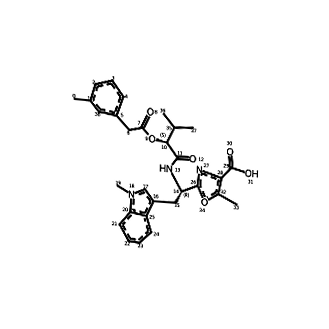 Cc1cccc(CC(=O)O[C@H](C(=O)N[C@H](Cc2cn(C)c3ccccc23)c2nc(C(=O)O)c(C)o2)C(C)C)c1